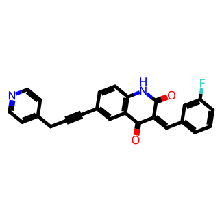 O=C1Nc2ccc(C#CCc3ccncc3)cc2C(=O)/C1=C/c1cccc(F)c1